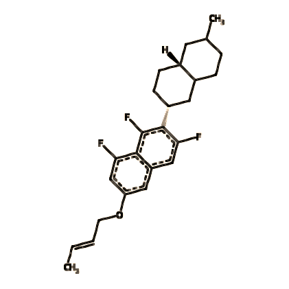 C/C=C/COc1cc(F)c2c(F)c([C@@H]3CC[C@@H]4CC(C)CCC4C3)c(F)cc2c1